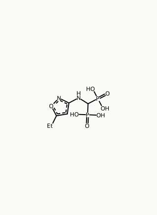 CCc1cc(NC(P(=O)(O)O)P(=O)(O)O)no1